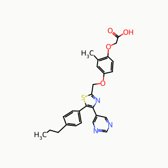 CCCc1ccc(-c2sc(COc3ccc(OCC(=O)O)c(C)c3)nc2-c2cncnc2)cc1